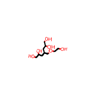 OCCOCC(CC(O)CO)CC(O)CO